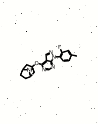 Cc1ccc(-n2ncc3c(OC4CC5CCC(C4)N5)ncnc32)c(F)c1